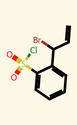 C=CC(Br)c1ccccc1S(=O)(=O)Cl